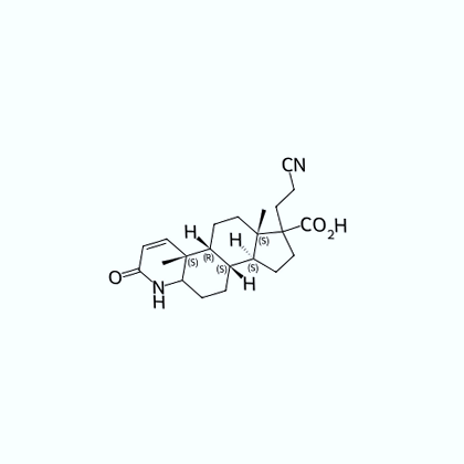 C[C@]12C=CC(=O)NC1CC[C@@H]1[C@H]2CC[C@@]2(C)[C@H]1CCC2(CCC#N)C(=O)O